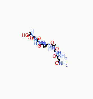 CC(NC(=O)CNC(=O)CNC(=O)c1ccc(CNC(=O)C(C)NC(=O)CNC(=O)C(N)CCC(N)=O)[nH]1)C(=O)O